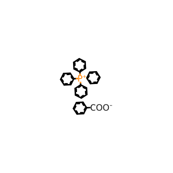 O=C([O-])c1ccccc1.c1ccc([P+](c2ccccc2)(c2ccccc2)c2ccccc2)cc1